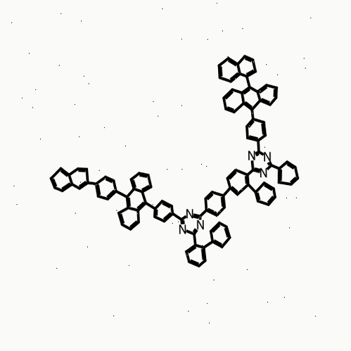 c1ccc(-c2nc(-c3ccc(-c4c5ccccc5c(-c5cccc6ccccc56)c5ccccc45)cc3)nc(-c3ccc(-c4ccc(-c5nc(-c6ccc(-c7c8ccccc8c(-c8ccc(-c9ccc%10ccccc%10c9)cc8)c8ccccc78)cc6)nc(-c6ccccc6-c6ccccc6)n5)cc4)cc3-c3ccccc3)n2)cc1